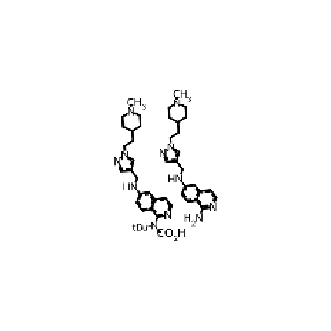 CN1CCC(CCn2cc(CNc3ccc4c(N(C(=O)O)C(C)(C)C)nccc4c3)cn2)CC1.CN1CCC(CCn2cc(CNc3ccc4c(N)nccc4c3)cn2)CC1